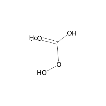 O=C(O)OO.[Ho]